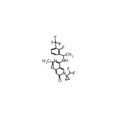 Cc1nc(N[C@H](C)c2cccc(C(F)(F)F)c2F)c2cn(C3(C(F)F)CC3)c(=O)cc2n1